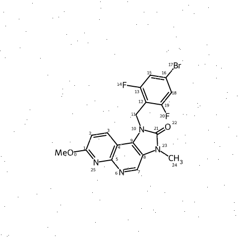 COc1ccc2c(ncc3c2n(Cc2c(F)cc(Br)cc2F)c(=O)n3C)n1